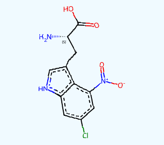 N[C@@H](Cc1c[nH]c2cc(Cl)cc([N+](=O)[O-])c12)C(=O)O